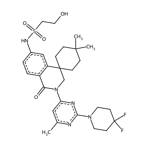 Cc1cc(N2CC3(CCC(C)(C)CC3)c3cc(NS(=O)(=O)CCO)ccc3C2=O)nc(N2CCC(F)(F)CC2)n1